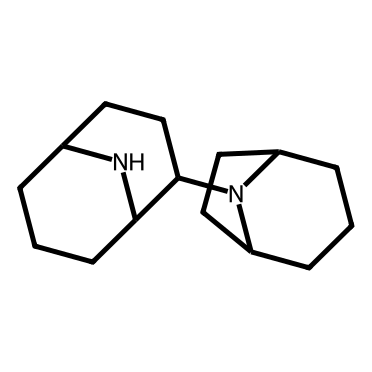 C1CC2CCC(N3C4CCCC3CC4)C(C1)N2